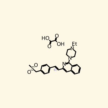 CCN1CCN(c2nc(/C=C/c3ccc(CS(C)(=O)=O)cc3)cc3ccccc23)CC1.O=C(O)C(=O)O